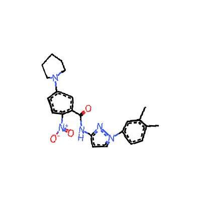 Cc1ccc(-n2ccc(NC(=O)c3cc(N4CCCCC4)ccc3[N+](=O)[O-])n2)cc1C